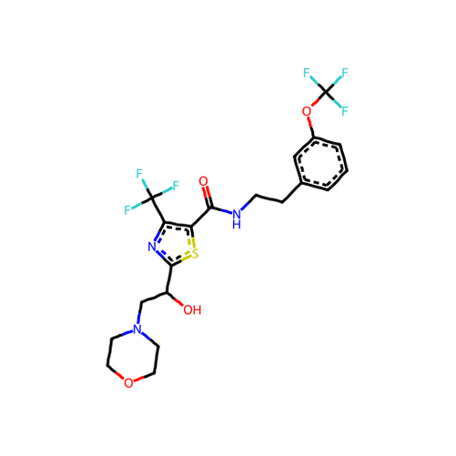 O=C(NCCc1cccc(OC(F)(F)F)c1)c1sc(C(O)CN2CCOCC2)nc1C(F)(F)F